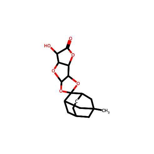 CC12CC3CCC(C1)C1(OC4OC5C(O)C(=O)OC5C4O1)C(C3)C2